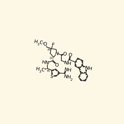 COC[C@@]1(F)C[C@@H](C(=O)N[C@H](C)c2cc(C(=N)N)cs2)N(C(=O)CNC(=O)c2ccc3[nH]c4ccccc4c3c2)C1